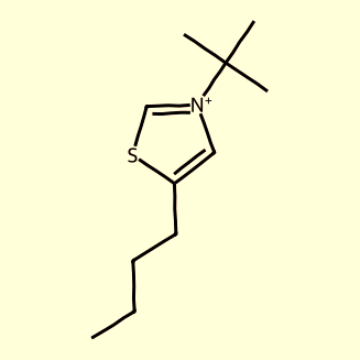 CCCCc1c[n+](C(C)(C)C)cs1